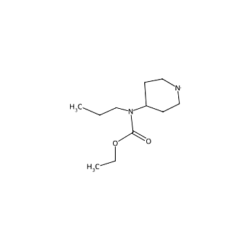 CCCN(C(=O)OCC)C1CC[N]CC1